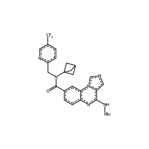 CC(C)(C)Nc1nc2ccc(C(=O)N(Cc3ccc(C(F)(F)F)cn3)C34CC(C3)C4)cc2n2cncc12